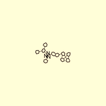 c1ccc(-c2cc(-c3ccccc3)cc(-c3nc(-c4ccccc4)nc(-c4ccc5cc(-c6cccc7c6-c6ccccc6C76c7ccccc7-c7ccccc76)ccc5c4)n3)c2)cc1